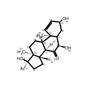 CC(=O)[C@@]1(O)CC[C@H]2[C@@H]3C(=O)[C@H](O)C4C[C@H](O)C=C[C@]4(C)[C@H]3CC[C@@]21C